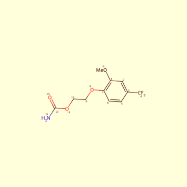 COc1cc(C(F)(F)F)ccc1OCCOC(N)=O